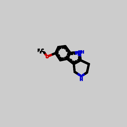 FC(F)(F)Oc1ccc2[nH]c3c(c2c1)CNCC3